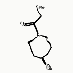 CCC(C)C1CCN(C(=O)COC)CC1